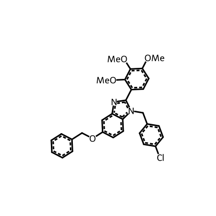 COc1ccc(-c2nc3cc(OCc4ccccc4)ccc3n2Cc2ccc(Cl)cc2)c(OC)c1OC